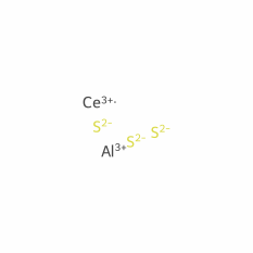 [Al+3].[Ce+3].[S-2].[S-2].[S-2]